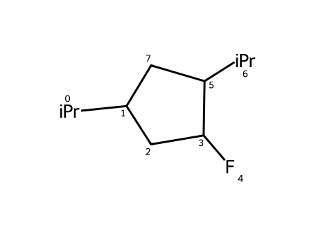 CC(C)C1CC(F)C(C(C)C)C1